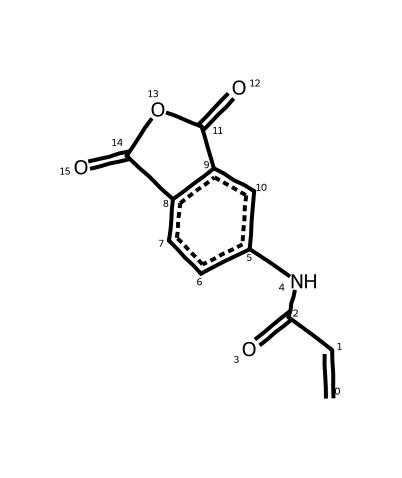 C=CC(=O)Nc1ccc2c(c1)C(=O)OC2=O